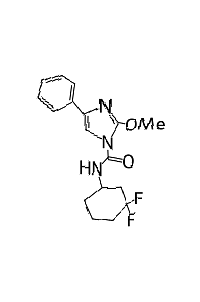 COc1nc(-c2ccccc2)cn1C(=O)NC1CCCC(F)(F)C1